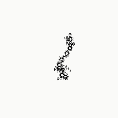 CC1(C)[C@H](Oc2ccc(C#N)c3ncccc23)C(C)(C)[C@H]1c1nc(N2CCC(CCN3CCN(c4ccc5c(c4)C(=O)N(C4CCC(=O)NC4=O)C5=O)CC3)CC2)ccc1C(N)=O